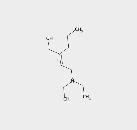 CCC/C(=C\CN(CC)CC)CO